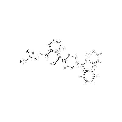 CN(C)CCOc1ccccc1C(=O)N1CCN(C2c3ccccc3-c3ccccc32)CC1